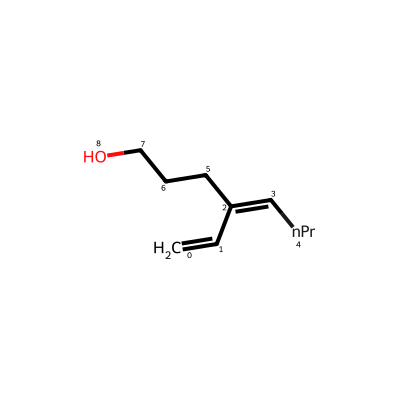 C=C/C(=C\CCC)CCCO